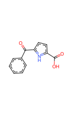 O=C(O)c1ccc(C(=O)c2ccccc2)[nH]1